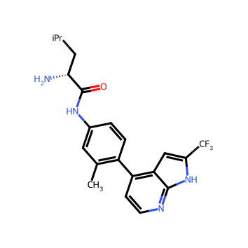 Cc1cc(NC(=O)[C@H](N)CC(C)C)ccc1-c1ccnc2[nH]c(C(F)(F)F)cc12